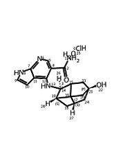 Cl.NC(=O)c1cnc2[nH]ccc2c1N[C@H]1C2C[C@H]3C[C@H]1C[C@](O)(C2)C3.O